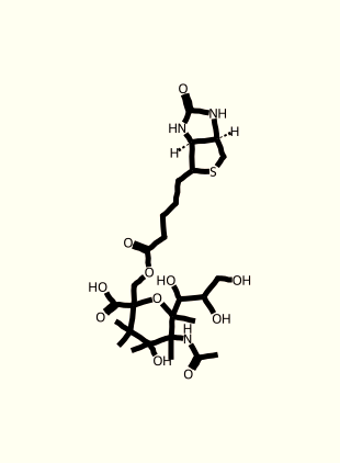 CC(=O)NC1(C)C(C)(C(O)C(O)CO)OC(COC(=O)CCCCC2SC[C@@H]3NC(=O)N[C@H]23)(C(=O)O)C(C)(C)C1(C)O